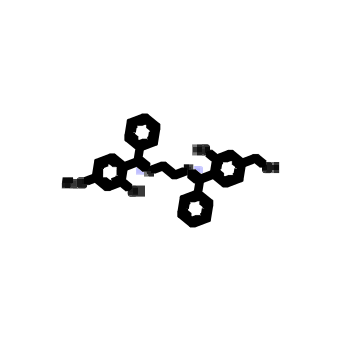 COc1ccc(/C(=N/CC/N=C(\c2ccccc2)c2ccc(CO)cc2O)c2ccccc2)c(O)c1